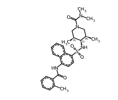 Cc1ccccc1C(=O)Nc1ccc(S(=O)(=O)N[C@@H]2[C@H](C)CN(C(=O)N(C)C)C[C@@H]2C)c2ccccc12